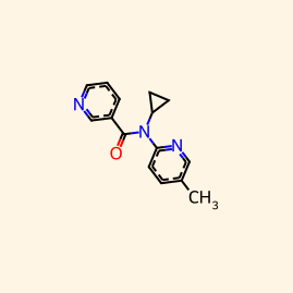 Cc1ccc(N(C(=O)c2cccnc2)C2CC2)nc1